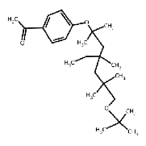 CCC(C)(CC(C)(C)COC(C)(C)C)CC(C)(C)Oc1ccc(C(C)=O)cc1